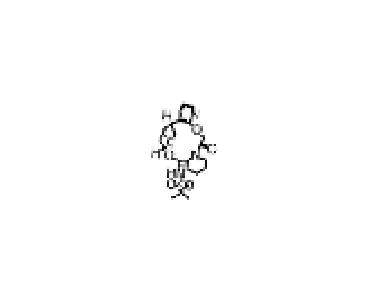 CC(C)S(=O)(=O)N[C@H]1CCCN2C(=O)COc3ncccc3[C@H]3CC[C@H](CC3)OC[C@@H]12